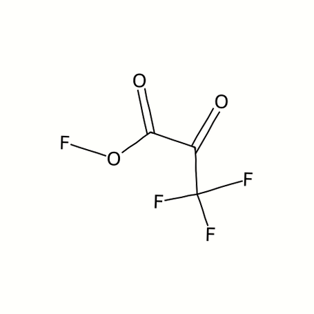 O=C(OF)C(=O)C(F)(F)F